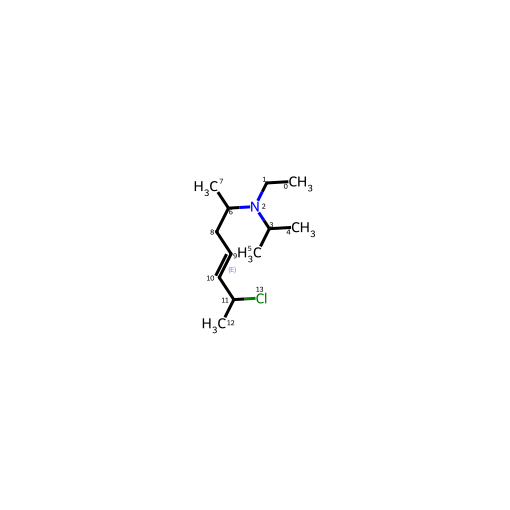 CCN(C(C)C)C(C)C/C=C/C(C)Cl